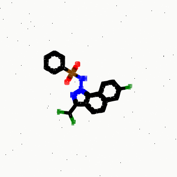 O=S(=O)(Nn1nc(C(F)F)c2ccc3cc(F)ccc3c21)c1ccccc1